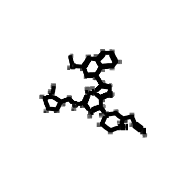 COc1cc(-c2cnc3c(N4CCNC(CC#N)C4)nc(OCC4CCCN4C)nn23)c2ccccc2c1